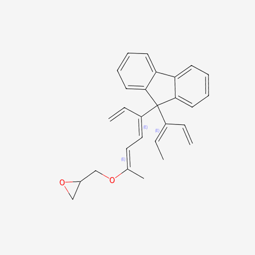 C=C/C(=C\C)C1(/C(C=C)=C/C=C(\C)OCC2CO2)c2ccccc2-c2ccccc21